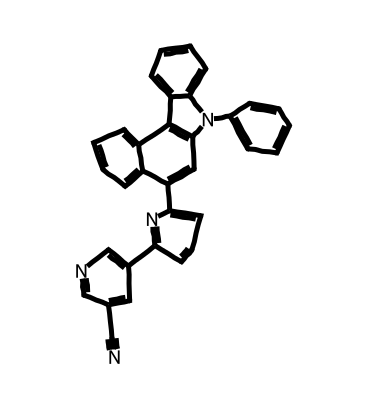 N#Cc1cncc(-c2cccc(-c3cc4c(c5ccccc35)c3ccccc3n4-c3ccccc3)n2)c1